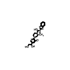 C[C@@H]1CN(c2ncc([C@H](O)CO)cc2Cl)CCN1C(O)Nc1nc2ccccc2s1